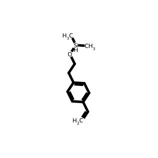 C=Cc1ccc(CCO[SiH](C)C)cc1